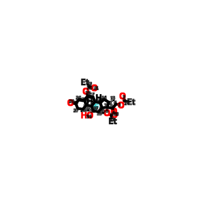 CCC(=O)OCC(=O)[C@]1(OC(=O)CC)[C@@H](C)C[C@H]2[C@@H]3C=C(OC(=O)CC)C4=CC(=O)CC[C@]4(C)[C@@]3(F)[C@@H](O)C[C@@]21C